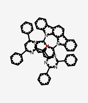 c1ccc(-c2cc(-c3ccccc3)nc(-c3cccc(-n4c5ccccc5c5ccc6c7ccccc7n(-c7cccc(-c8nc(-c9ccccc9)nc(-c9ccccc9)n8)n7)c6c54)n3)n2)cc1